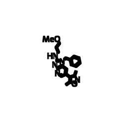 COCCCNc1nc2ncc(-c3c(C)noc3C)cc2n1Cc1ccccc1